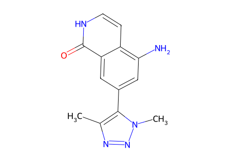 Cc1nnn(C)c1-c1cc(N)c2cc[nH]c(=O)c2c1